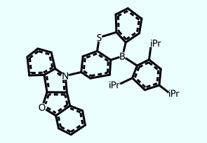 CC(C)c1cc(C(C)C)c(B2c3ccccc3Sc3cc(-n4c5ccccc5c5oc6ccccc6c54)ccc32)c(C(C)C)c1